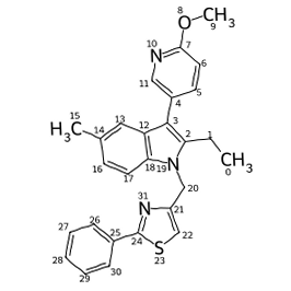 CCc1c(-c2ccc(OC)nc2)c2cc(C)ccc2n1Cc1csc(-c2ccccc2)n1